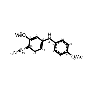 COC1=CC(Nc2ccc(OC)cc2)=CCC1=[N+]=[N-]